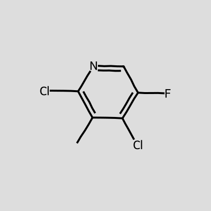 Cc1c(Cl)ncc(F)c1Cl